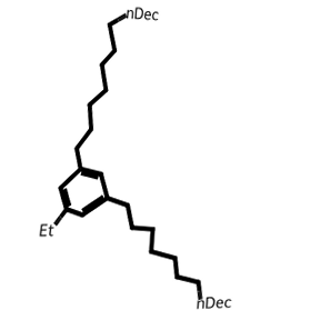 [CH2]Cc1cc(CCCCCCCCCCCCCCCCC)cc(CCCCCCCCCCCCCCCCC)c1